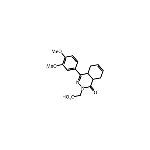 COc1ccc(C2=NN(CC(=O)O)C(=O)C3CC=CCC23)cc1OC